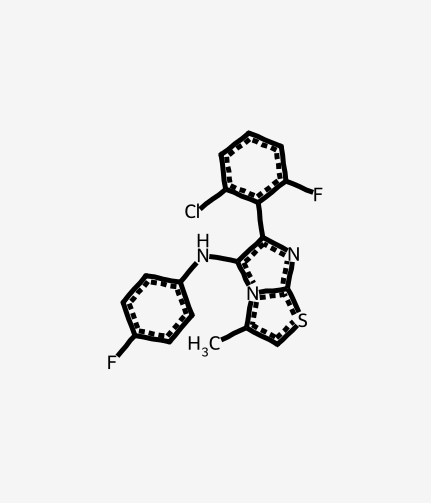 Cc1csc2nc(-c3c(F)cccc3Cl)c(Nc3ccc(F)cc3)n12